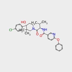 CC(C)[C@@H](NC(=O)c1ccc(Oc2ccccc2)nc1)C(=O)N1CC[C@](O)(c2ccc(Cl)cc2)C(C)(C)C1